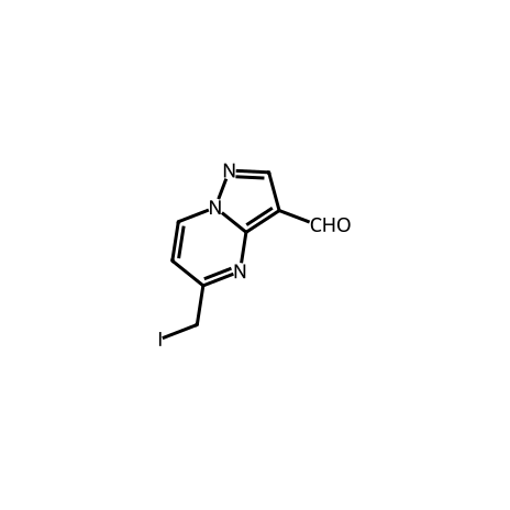 O=Cc1cnn2ccc(CI)nc12